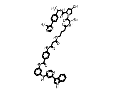 Cc1ncsc1-c1ccc([C@@H](C)NC(=O)C2C[C@@H](O)CN2C(=O)[C@@H](NC(=O)CCCNC(=O)CC(=O)Nc2ccc(C(=O)Nc3cccc(Nc4cc(-c5c[nH]c6ccccc56)ncn4)c3)cc2)C(C)(C)C)cc1